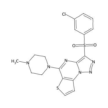 CN1CCN(c2nc3c(S(=O)(=O)c4cccc(Cl)c4)nnn3c3ccsc23)CC1